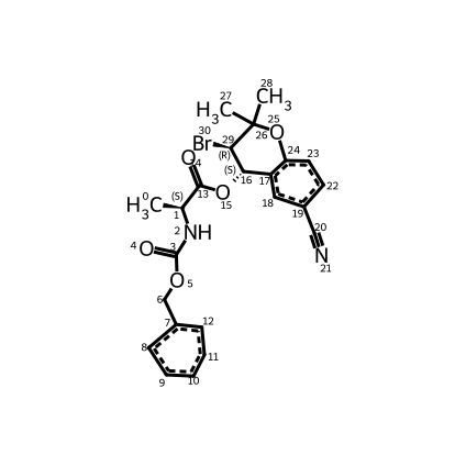 C[C@H](NC(=O)OCc1ccccc1)C(=O)O[C@H]1c2cc(C#N)ccc2OC(C)(C)[C@@H]1Br